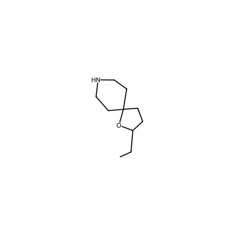 CCC1CCC2(CCNCC2)O1